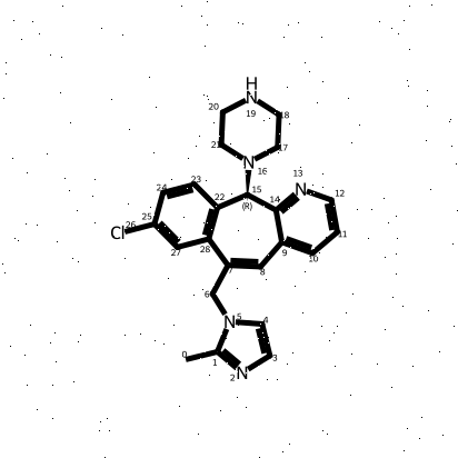 Cc1nccn1CC1=Cc2cccnc2[C@H](N2CCNCC2)c2ccc(Cl)cc21